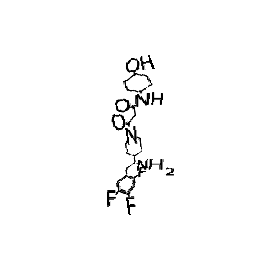 N[C@H](Cc1cc(F)c(F)cc1F)C1CCN(C(=O)CC(=O)N[C@H]2CC[C@H](O)CC2)CC1